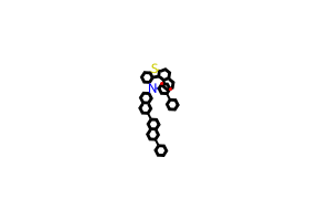 c1ccc(-c2cccc(N(c3ccc4ccc(-c5ccc6cc(-c7ccccc7)ccc6c5)cc4c3)c3cccc4sc5ccc6ccccc6c5c34)c2)cc1